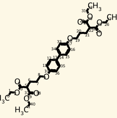 CCOC(=O)C(CCCOc1ccc(-c2ccc(OCCCC(C(=O)OCC)C(=O)OCC)cc2)cc1)C(=O)OCC